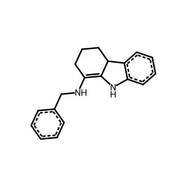 c1ccc(CNC2=C3Nc4ccccc4C3CCC2)cc1